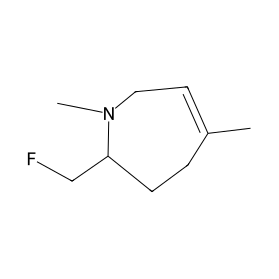 CC1=CCN(C)C(CF)CC1